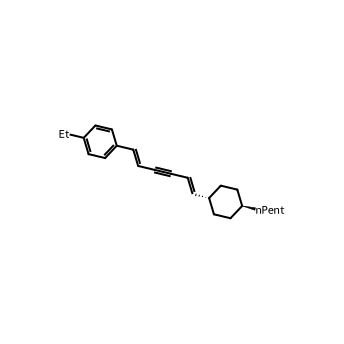 CCCCC[C@H]1CC[C@H](/C=C/C#C/C=C/c2ccc(CC)cc2)CC1